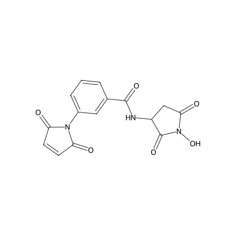 O=C(NC1CC(=O)N(O)C1=O)c1cccc(N2C(=O)C=CC2=O)c1